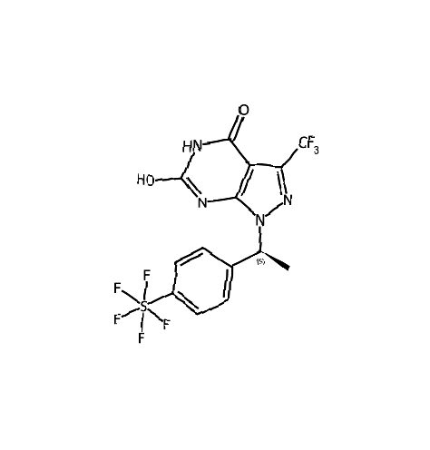 C[C@@H](c1ccc(S(F)(F)(F)(F)F)cc1)n1nc(C(F)(F)F)c2c(=O)[nH]c(O)nc21